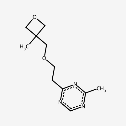 Cc1ncnc(CCOCC2(C)COC2)n1